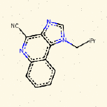 CC(C)Cn1cnc2c(C#N)nc3ccccc3c21